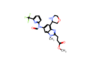 COC(=O)CCc1nc2c(C3COCCN3)cc(N(C=O)c3cccc(C(F)(F)F)n3)cc2n1C